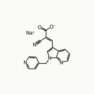 N#C/C(=C\c1cn(Cc2ccncc2)c2ncccc12)C(=O)[O-].[Na+]